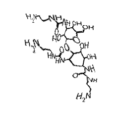 NCCNC(=O)NC1CC(NC(=O)NCCN)C(OC2OC(CO)C(O)C(NC(=O)NCCN)C2O)C(O)C1O